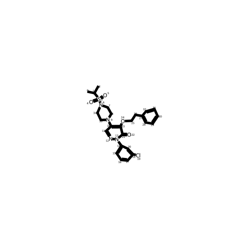 CC(C)S(=O)(=O)N1CCN(c2cnn(-c3cccc(Cl)c3)c(=O)c2OCCc2ccccc2)CC1